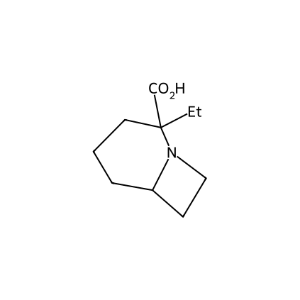 CCC1(C(=O)O)CCCC2CCN21